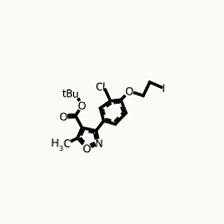 Cc1onc(-c2ccc(OCCI)c(Cl)c2)c1C(=O)OC(C)(C)C